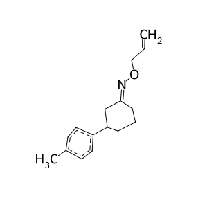 C=CCO/N=C1\CCCC(c2ccc(C)cc2)C1